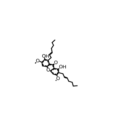 CCCCC=CCc1c(OC)cc2oc3cc(OC)c(O)c(CC=CCCCC)c3c(=O)c2c1O